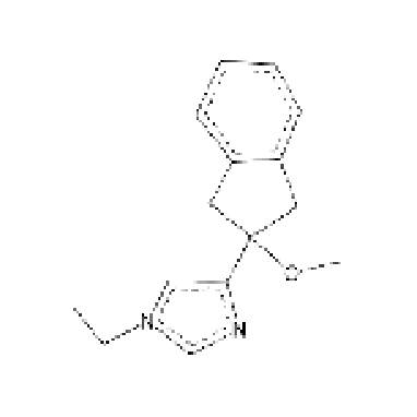 CCn1cnc(C2(OC)Cc3ccccc3C2)c1